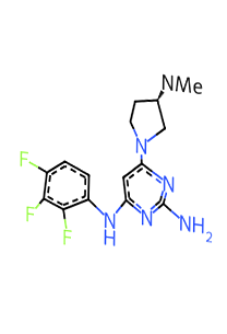 CN[C@@H]1CCN(c2cc(Nc3ccc(F)c(F)c3F)nc(N)n2)C1